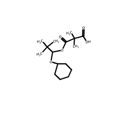 CC(C)(C(=O)O)C(=O)OC(OC1CCCCC1)C(C)(C)C